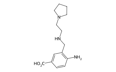 Nc1ccc(C(=O)O)cc1CNCCN1CCCC1